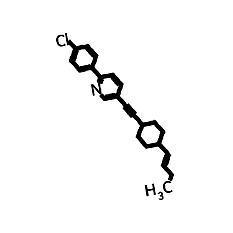 CCC=CC1CCC(C#Cc2ccc(-c3ccc(Cl)cc3)nc2)CC1